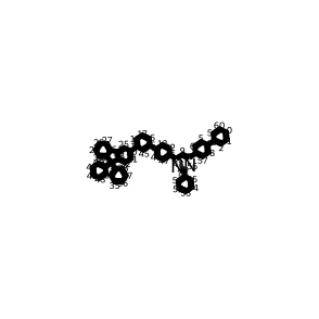 c1ccc(-c2ccc(-c3cc(-c4ccc(-c5cccc(-c6ccc7c(c6)-c6ccccc6C7(c6ccccc6)c6ccccc6)c5)cc4)nc(-c4ccccc4)n3)cc2)cc1